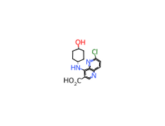 O=C(O)c1cnc2ccc(Cl)nc2c1N[C@H]1CC[C@H](O)CC1